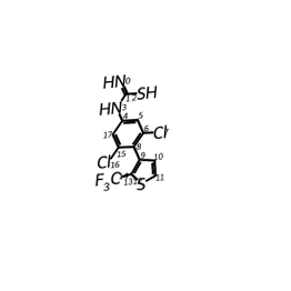 N=C(S)Nc1cc(Cl)c(-c2ccsc2C(F)(F)F)c(Cl)c1